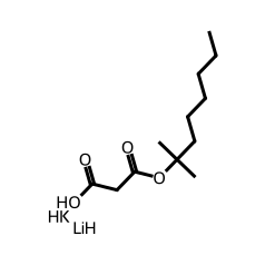 CCCCCCC(C)(C)OC(=O)CC(=O)O.[KH].[LiH]